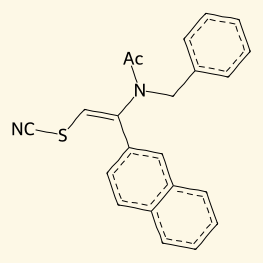 CC(=O)N(Cc1ccccc1)/C(=C/SC#N)c1ccc2ccccc2c1